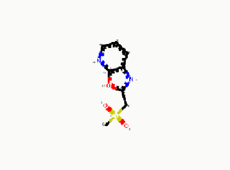 [CH2]S(=O)(=O)Cc1nc2cccnc2o1